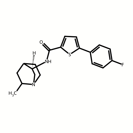 CC1CC2CCN1C[C@@H]2NC(=O)c1ccc(-c2ccc(F)cc2)s1